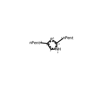 CCCCCc1c[nH]c(CCCCC)p1